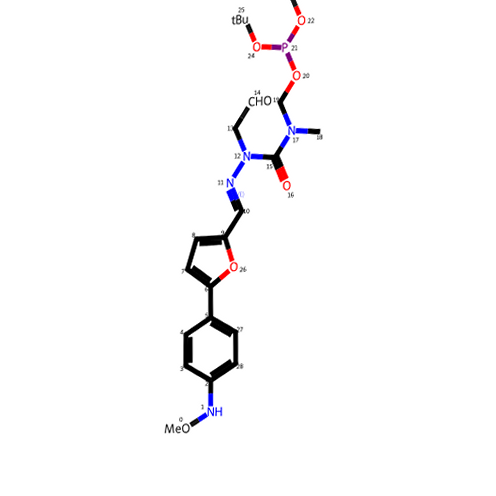 CONc1ccc(-c2ccc(/C=N/N(CC=O)C(=O)N(C)COP(OC(C)(C)C)OC(C)(C)C)o2)cc1